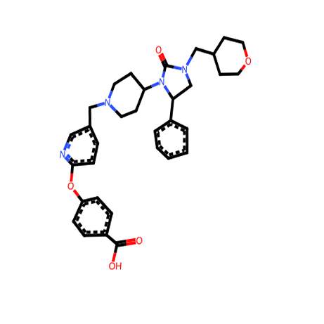 O=C(O)c1ccc(Oc2ccc(CN3CCC(N4C(=O)N(CC5CCOCC5)CC4c4ccccc4)CC3)cn2)cc1